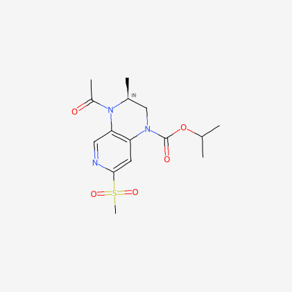 CC(=O)N1c2cnc(S(C)(=O)=O)cc2N(C(=O)OC(C)C)C[C@@H]1C